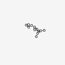 c1ccc(-c2ccc(N(c3ccc(-c4ccccc4)cc3)c3ccc4c(c3)oc3cc(-c5cccc(-c6cccc7c6oc6ccccc67)c5)ccc34)cc2)cc1